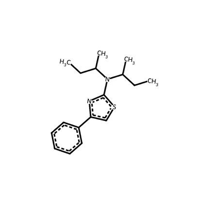 CCC(C)N(c1nc(-c2ccccc2)cs1)C(C)CC